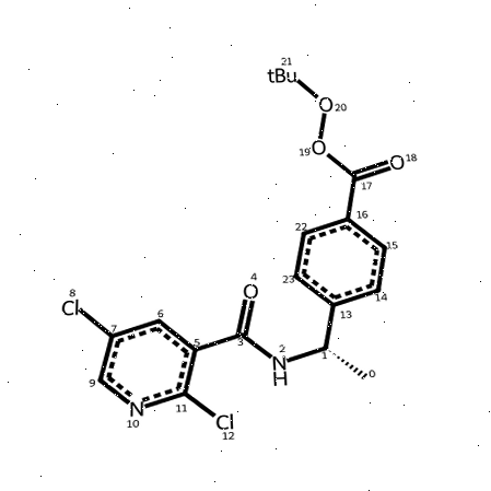 C[C@H](NC(=O)c1cc(Cl)cnc1Cl)c1ccc(C(=O)OOC(C)(C)C)cc1